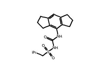 CC(C)CS(=O)(=O)NC(=O)Nc1c2c(cc3c1CCC3)CCC2